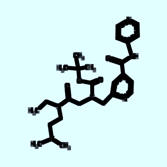 CCN(CCN(C)C)C(=O)CN(Cc1cc(C(=O)Nc2ccncc2)ccn1)C(=O)OC(C)(C)C